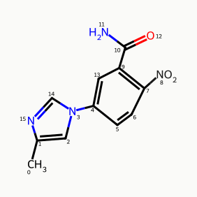 Cc1cn(-c2ccc([N+](=O)[O-])c(C(N)=O)c2)cn1